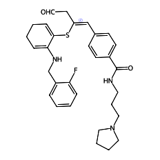 O=CC/C(=C/c1ccc(C(=O)NCCCN2CCCC2)cc1)SC1=CCCC=C1NCc1ccccc1F